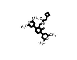 Cc1cc(-c2ccc(C3CC(C)OC(C)C3)c(F)c2CNC(=O)CC2CCC2)cc(C)n1